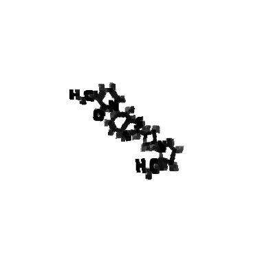 Cc1cccn(-c2ccc3nc(C4CC(N5CCCC5C)C4)sc3c2)c1=O